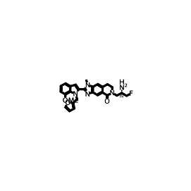 COc1cccc2cc(-c3nc4cc5c(cc4n3C)CCN(C[C@H](N)CF)C5=O)n(Cc3ccco3)c12